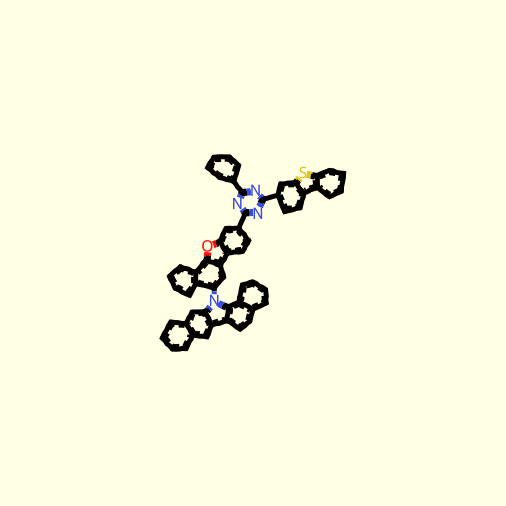 c1ccc(-c2nc(-c3ccc4c(c3)oc3c5ccccc5c(-n5c6cc7ccccc7cc6c6ccc7ccccc7c65)cc43)nc(-c3ccc4c(c3)sc3ccccc34)n2)cc1